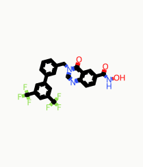 O=C(NO)c1ccc2ncn(Cc3cccc(-c4cc(C(F)(F)F)cc(C(F)(F)F)c4)c3)c(=O)c2c1